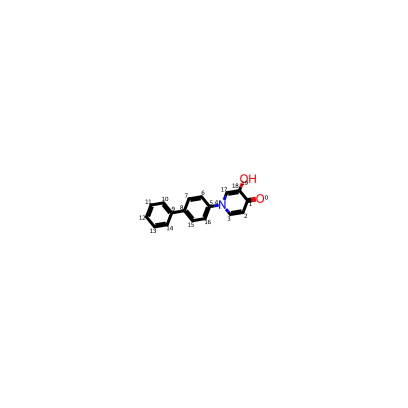 O=c1ccn(-c2ccc(-c3ccccc3)cc2)cc1O